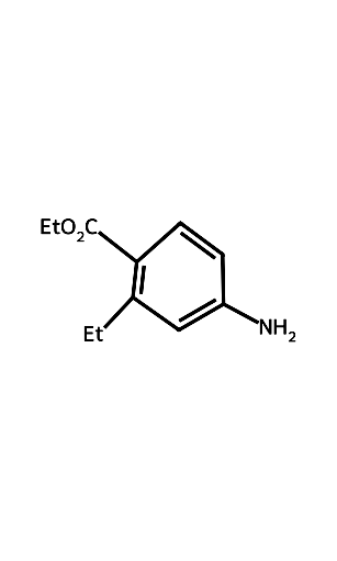 CCOC(=O)c1ccc(N)cc1CC